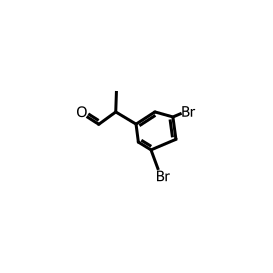 CC(C=O)c1cc(Br)cc(Br)c1